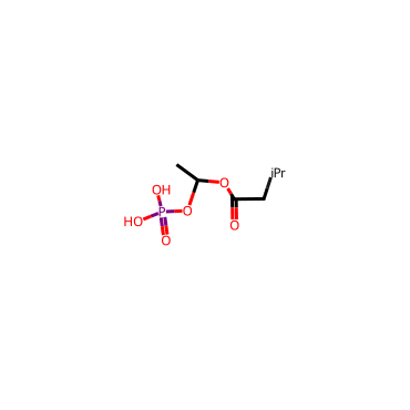 CC(C)CC(=O)OC(C)OP(=O)(O)O